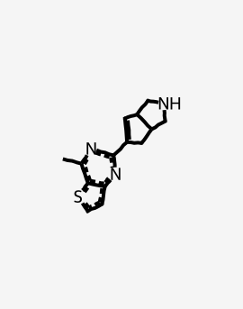 Cc1nc(C2=CC3CNCC3C2)nc2ccsc12